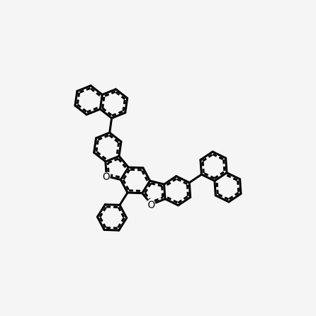 c1ccc(-c2c3oc4ccc(-c5cccc6ccccc56)cc4c3cc3c2oc2ccc(-c4cccc5ccccc45)cc23)cc1